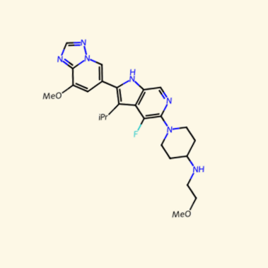 COCCNC1CCN(c2ncc3[nH]c(-c4cc(OC)c5ncnn5c4)c(C(C)C)c3c2F)CC1